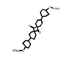 CCCCCCOC1CCC(C2CCC3(CC2)C(=O)C2(CCC(C4CCC(OCCCCCC)CC4)CC2)C3=O)CC1